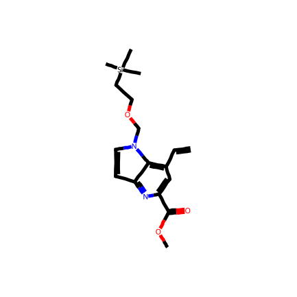 C=Cc1cc(C(=O)OC)nc2ccn(COCC[Si](C)(C)C)c12